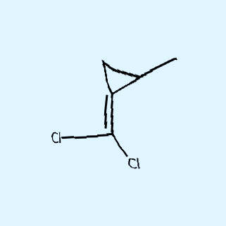 CC1CC1=C(Cl)Cl